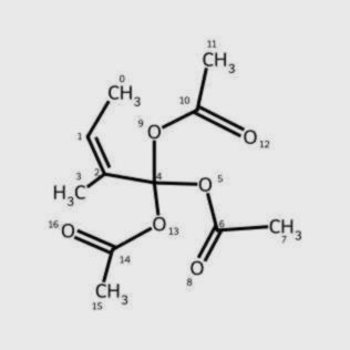 CC=C(C)C(OC(C)=O)(OC(C)=O)OC(C)=O